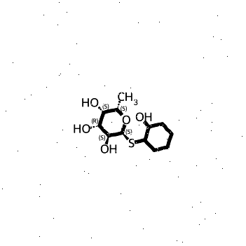 C[C@@H]1O[C@@H](SC2CCCCC2O)[C@@H](O)[C@H](O)[C@@H]1O